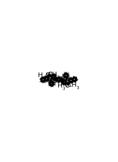 CC1(C)c2cc3ccccc3cc2N(c2ccccc2)c2c1ccc1c2oc2cc3c(cc21)oc1c2c(ccc13)C(C)(C)c1cc3ccccc3cc1N2c1ccccc1